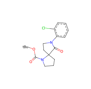 CC(C)(C)OC(=O)N1CCCC12CCN(c1ccccc1Cl)C2=O